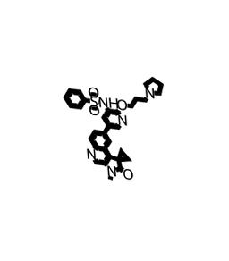 CN1C(=O)C2(CC2)c2c1cnc1ccc(-c3cnc(OCCCN4CCCC4)c(NS(=O)(=O)c4ccccc4)c3)cc21